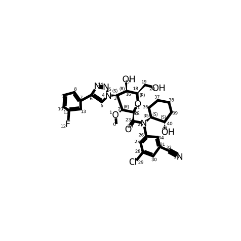 CO[C@@H]1[C@@H](n2cc(-c3cccc(F)c3)nn2)[C@@H](O)[C@@H](CO)O[C@H]1C(=O)N(c1cc(Cl)cc(C#N)c1)[C@H]1CCCC[C@@H]1O